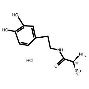 CC[C@H](C)[C@H](N)C(=O)NCCc1ccc(O)c(O)c1.Cl